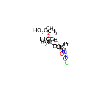 CC(C)C1=C2C3CC[C@@H]4C5(C)CC[C@H](OCCC(C)(C)C(=O)O)C(C)(C)[C@@H]5CCC4(C)[C@]3(C)CCC2(Cc2nnc(-c3ccc(Cl)cn3)o2)CC1